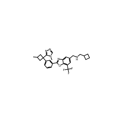 CC1CC(c2cccc(-c3nc4cc(CNCC5CCC5)cc(C(F)(F)F)c4o3)c2)(c2nncn2C)C1